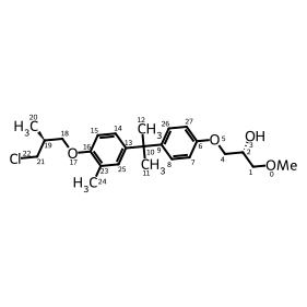 COC[C@@H](O)COc1ccc(C(C)(C)c2ccc(OC[C@H](C)CCl)c(C)c2)cc1